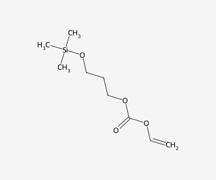 C=COC(=O)OCCCO[Si](C)(C)C